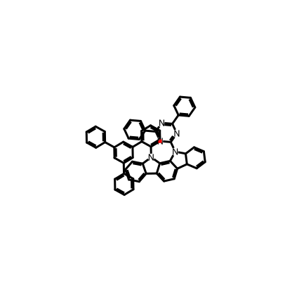 C1=CC2c3ccc4c5ccccc5n(-c5ccccc5-c5cc(-c6ccccc6)cc(-c6ccccc6)c5)c4c3N(c3nc(-c4ccccc4)nc(-c4ccccc4)n3)C2C=C1